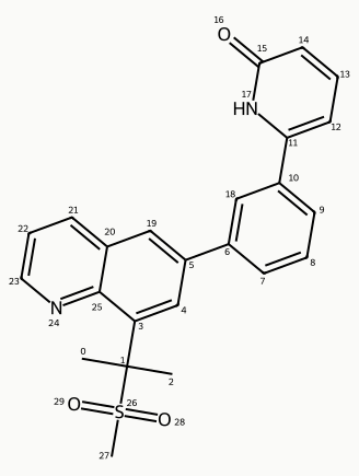 CC(C)(c1cc(-c2cccc(-c3cccc(=O)[nH]3)c2)cc2cccnc12)S(C)(=O)=O